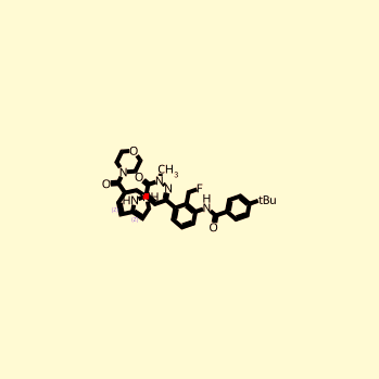 Cn1nc(-c2cccc(NC(=O)c3ccc(C(C)(C)C)cc3)c2CF)cc(NC2=C\CNCC(C(=O)N3CCOCC3)/C=C\2)c1=O